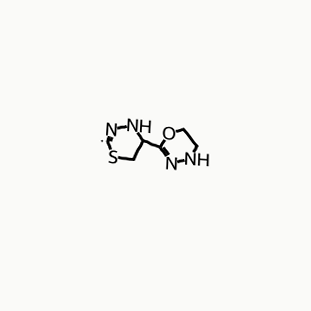 [C]1=NNC(C2=NNCCO2)CS1